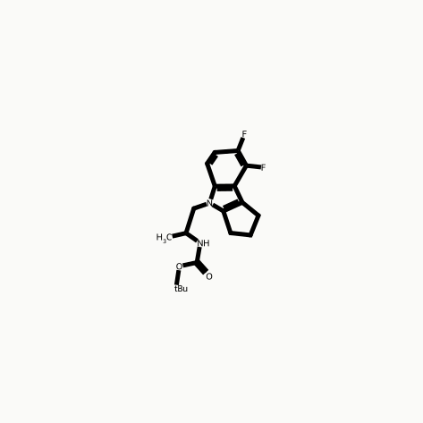 CC(Cn1c2c(c3c(F)c(F)ccc31)CCC2)NC(=O)OC(C)(C)C